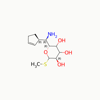 CSC1O[C@H]([C@H](N)[C@H]2C=CCC2)C(O)C(O)[C@H]1O